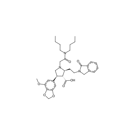 CCCCN(CCCC)C(=O)CN1C[C@H](c2cc(OC)c3c(c2)OCO3)[C@@H](C(=O)O)[C@@H]1CCN1Cc2ccccc2C1=O